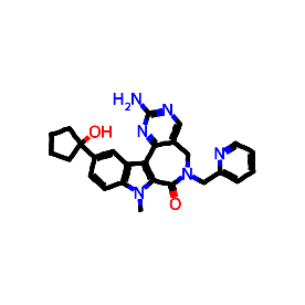 Cn1c2c(c3cc(C4(O)CCCC4)ccc31)-c1nc(N)ncc1CN(Cc1ccccn1)C2=O